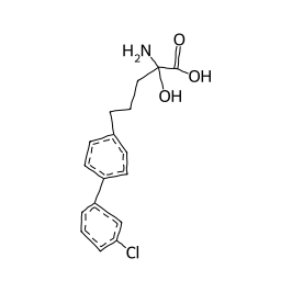 NC(O)(CCCc1ccc(-c2cccc(Cl)c2)cc1)C(=O)O